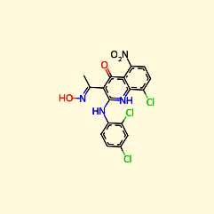 CC(=NO)c1c(Nc2ccc(Cl)cc2Cl)[nH]c2c(Cl)ccc([N+](=O)[O-])c2c1=O